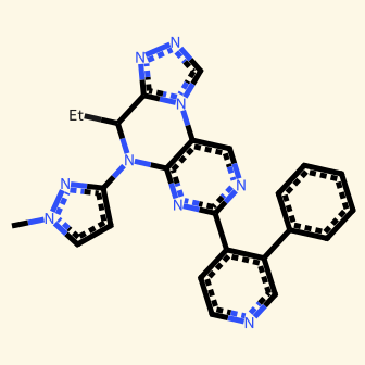 CCC1c2nncn2-c2cnc(-c3ccncc3-c3ccccc3)nc2N1c1ccn(C)n1